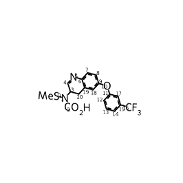 CSN(C(=O)O)C1C=Nc2ccc(Oc3cccc(C(F)(F)F)c3)cc2C1